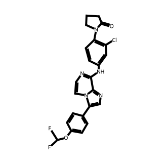 O=C1CCCN1c1ccc(Nc2nccn3c(-c4ccc(OC(F)F)cc4)cnc23)cc1Cl